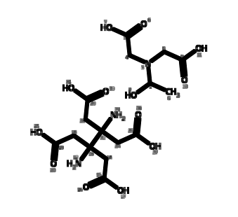 CC(O)N(CC(=O)O)CC(=O)O.NC(CC(=O)O)(CC(=O)O)C(N)(CC(=O)O)CC(=O)O